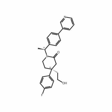 C[C@@H](c1ccc(-c2cccnc2)cc1)N1CC[C@](CCO)(c2ccc(F)cc2)CC1=O